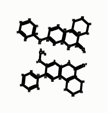 COc1cc2oc(=O)c3c(c2cc1-c1ccccn1)CCCC3.O=c1oc2cc(Oc3ccccn3)ccc2c2c1CCCC2